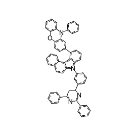 c1ccc(C2=NC(c3ccccc3)=NC(c3cccc(-n4c5cccc(-c6ccc7c(c6)N(c6ccccc6)c6ccccc6O7)c5c5c6ccccc6ccc54)c3)C2)cc1